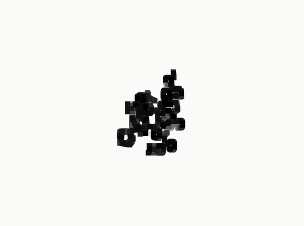 CCOC(=O)ON1CCN(C(=O)[C@H](CCC(=O)O)NC(=O)c2cc(NS(=O)(=O)C(C)C)nc(-c3ccccc3)n2)CC1